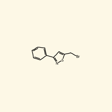 BrCc1cc(-c2ccccc2)ns1